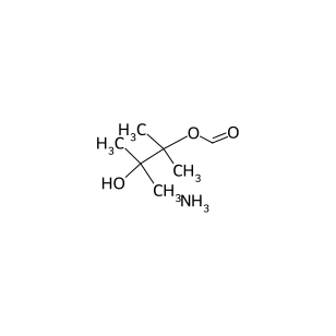 CC(C)(O)C(C)(C)OC=O.N